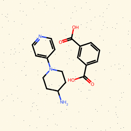 NC1CCN(c2ccncc2)CC1.O=C(O)c1cccc(C(=O)O)c1